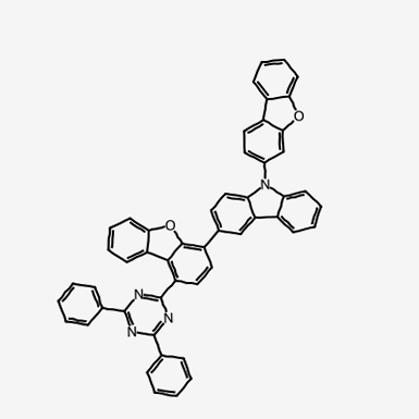 c1ccc(-c2nc(-c3ccccc3)nc(-c3ccc(-c4ccc5c(c4)c4ccccc4n5-c4ccc5c(c4)oc4ccccc45)c4oc5ccccc5c34)n2)cc1